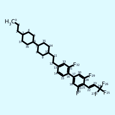 CCCC1CCC(C2CCC(CCc3ccc(-c4cc(F)c(/C=C/C(F)(F)F)c(F)c4)c(F)c3)CC2)CC1